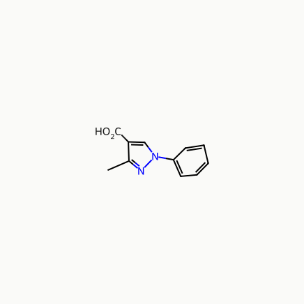 Cc1nn(-c2ccccc2)cc1C(=O)O